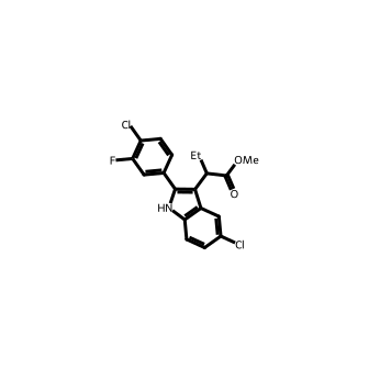 CCC(C(=O)OC)c1c(-c2ccc(Cl)c(F)c2)[nH]c2ccc(Cl)cc12